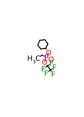 CCP(=O)(OC1CCCCC1)OC(F)(F)C(F)(F)F